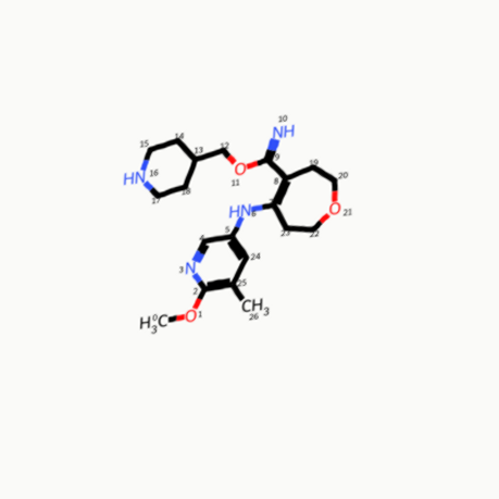 COc1ncc(NC2=C(C(=N)OCC3CCNCC3)CCOCC2)cc1C